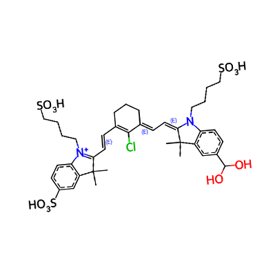 CC1(C)C(/C=C/C2=C(Cl)C(=C/C=C3/N(CCCCS(=O)(=O)O)c4ccc(C(O)O)cc4C3(C)C)/CCC2)=[N+](CCCCS(=O)(=O)O)c2ccc(S(=O)(=O)O)cc21